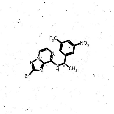 C[C@@H](Nc1nccn2nc(Br)nc12)c1cc([N+](=O)[O-])cc(C(F)(F)F)c1